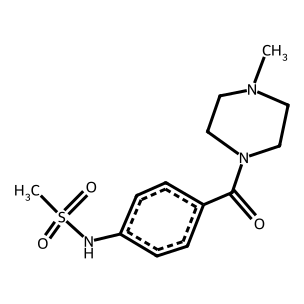 CN1CCN(C(=O)c2ccc(NS(C)(=O)=O)cc2)CC1